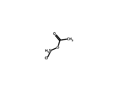 CC(=O)O[SiH2]Cl